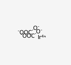 O=C([O-])[O-].O=C([O-])[O-].[Ir+4]